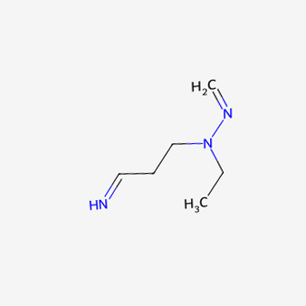 C=NN(CC)CCC=N